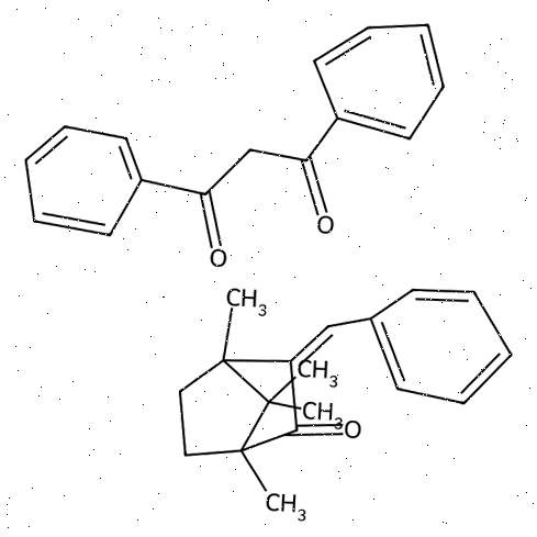 CC12CCC(C)(C(=Cc3ccccc3)C1=O)C2(C)C.O=C(CC(=O)c1ccccc1)c1ccccc1